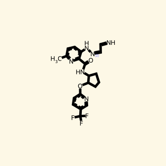 Cc1ccc(N/N=C\C=N)c(C(=O)NC2CCCC2Oc2ccc(C(F)(F)F)cn2)n1